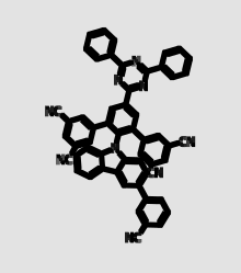 N#Cc1cccc(-c2ccc3c(c2)c2ccccc2n3-c2c(-c3cc(C#N)cc(C#N)c3)cc(-c3nc(-c4ccccc4)nc(-c4ccccc4)n3)cc2-c2cc(C#N)cc(C#N)c2)c1